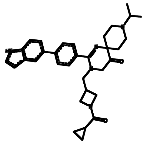 CC(C)N1CCC2(CC1)N=C(c1ccc(-c3ccc4[nH]ccc4c3)cc1)N(CC1CN(C(=O)C3CC3)C1)CC2=O